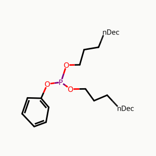 CCCCCCCCCCCCCOP(OCCCCCCCCCCCCC)Oc1ccccc1